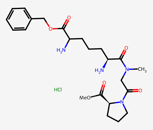 COC(=O)[C@@H]1CCCN1C(=O)CN(C)C(=O)[C@@H](N)CCCC(N)C(=O)OCc1ccccc1.Cl